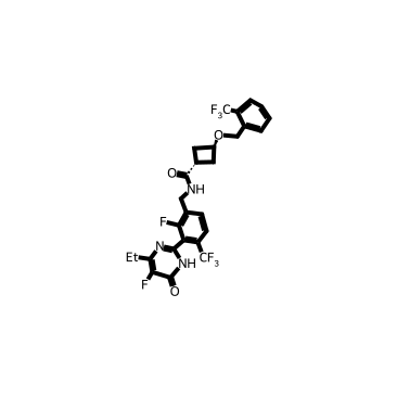 CCc1nc(-c2c(C(F)(F)F)ccc(CNC(=O)[C@H]3C[C@H](OCc4ccccc4C(F)(F)F)C3)c2F)[nH]c(=O)c1F